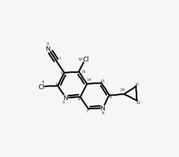 N#Cc1c(Cl)nc2cnc(C3CC3)cc2c1Cl